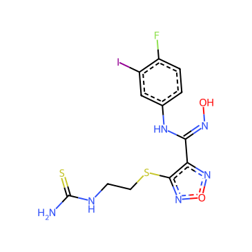 NC(=S)NCCSc1nonc1/C(=N/O)Nc1ccc(F)c(I)c1